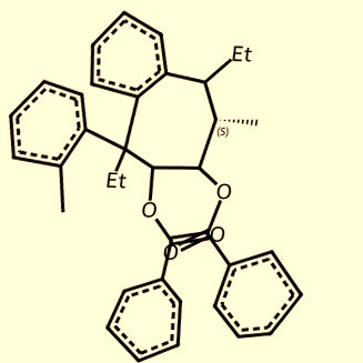 CCC1c2ccccc2C(CC)(c2ccccc2C)C(OC(=O)c2ccccc2)C(OC(=O)c2ccccc2)[C@H]1C